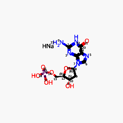 Nc1nc2c(ncn2[C@H]2C[C@H](O)[C@@H](COP(=O)(O)O)O2)c(=O)[nH]1.[NaH]